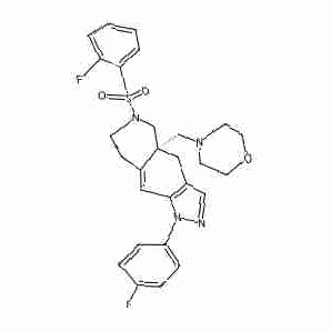 O=S(=O)(c1ccccc1F)N1CCC2=Cc3c(cnn3-c3ccc(F)cc3)C[C@]2(CN2CCOCC2)C1